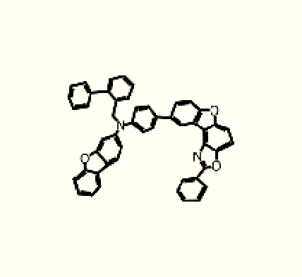 c1ccc(-c2nc3c(ccc4oc5ccc(-c6ccc(N(Cc7ccccc7-c7ccccc7)c7ccc8c(c7)oc7ccccc78)cc6)cc5c43)o2)cc1